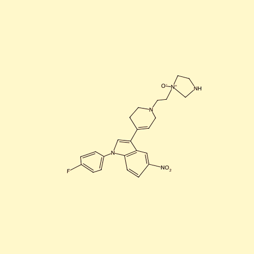 O=[N+]([O-])c1ccc2c(c1)c(C1=CCN(CC[N+]3([O-])CCNC3)CC1)cn2-c1ccc(F)cc1